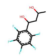 CC(O)CC(O)c1c(F)c(F)c(F)c(F)c1F